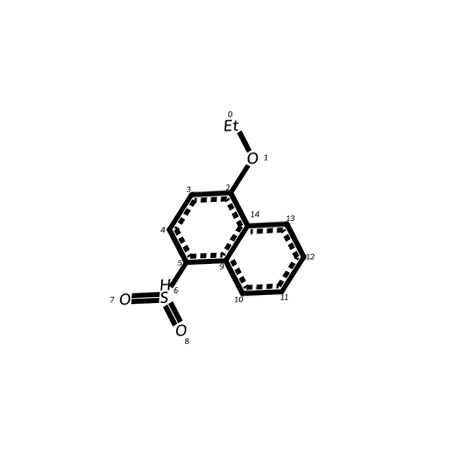 CCOc1ccc([SH](=O)=O)c2ccccc12